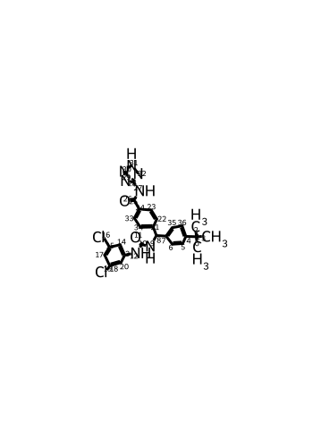 CC(C)(C)c1ccc(C(NC(=O)Nc2cc(Cl)cc(Cl)c2)c2ccc(C(=O)Nc3nn[nH]n3)cc2)cc1